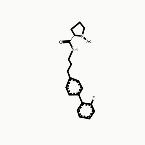 CC(=O)N1CCC[C@H]1C(=O)NCCCc1ccc(-c2ccccc2F)cc1